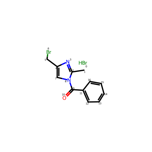 Br.Cc1nc(CBr)cn1C(=O)c1ccccc1